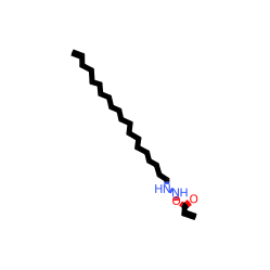 C=CCCCCCCCCCCCCCCCCCCNNOC(=O)C=C